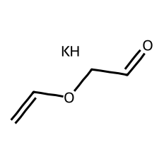 C=COCC=O.[KH]